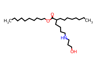 CCCCCCCCCCOC(=O)C(CCCCCCCC)CCCCNCCCO